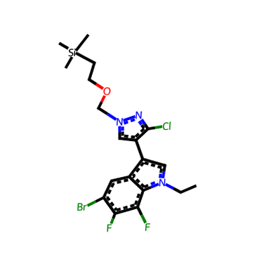 CCn1cc(-c2cn(COCC[Si](C)(C)C)nc2Cl)c2cc(Br)c(F)c(F)c21